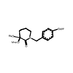 COc1ccc(CN2CCCC(OC)(OC)C2=O)cc1